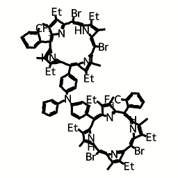 CCC1=C(C)c2nc1c(Br)c1[nH]c(c(C)c1CC)c(Br)c1nc(c(-c3ccc(N(c4ccccc4)c4ccc(-c5c6nc(c(-c7ccccc7C(F)(F)F)c7[nH]c(c(Br)c8nc(c(Br)c9[nH]c5c(CC)c9C)C(C)=C8CC)c(CC)c7C)C(C)=C6CC)cc4)cc3)c3[nH]c(c(C)c3CC)c2-c2ccccc2C(F)(F)F)C(CC)=C1C